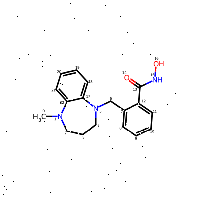 CN1CCCN(Cc2ccccc2C(=O)NO)c2ccccc21